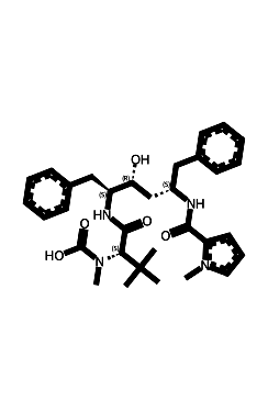 CN(C(=O)O)[C@H](C(=O)N[C@@H](Cc1ccccc1)[C@H](O)C[C@H](Cc1ccccc1)NC(=O)c1cccn1C)C(C)(C)C